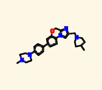 CC1CCN(Cc2cn3c(n2)COc2cc(-c4ccc(N5CCN(C)CC5)cc4)ccc2-3)CC1